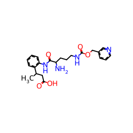 CC(CC(=O)O)c1ccccc1NC(=O)C(N)CCCNC(=O)OCc1cccnc1